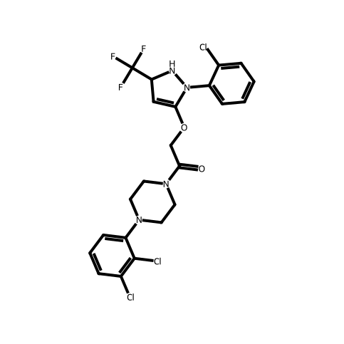 O=C(COC1=CC(C(F)(F)F)NN1c1ccccc1Cl)N1CCN(c2cccc(Cl)c2Cl)CC1